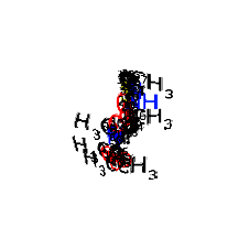 COc1cc(C2=NN(C(C)=O)C(c3ccc(C)c(OCC(=O)Nc4nc5c(C)cccc5s4)c3)C2)cc(OC)c1OC